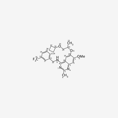 COc1cc2nc(C)nc(NCc3cccc(C(F)(F)F)c3)c2cc1OC(C)COC1CCC1